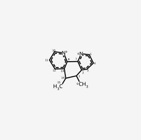 CC1c2cccnc2-c2ncccc2C1C